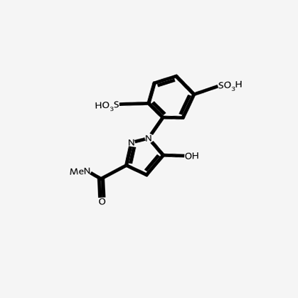 CNC(=O)c1cc(O)n(-c2cc(S(=O)(=O)O)ccc2S(=O)(=O)O)n1